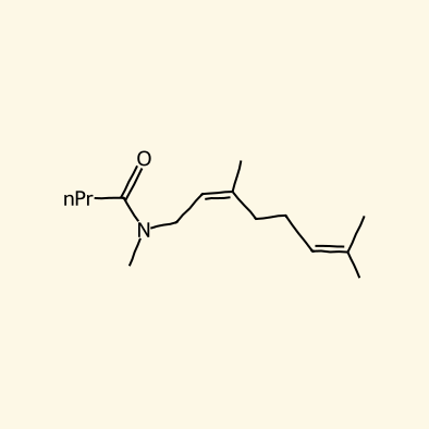 CCCC(=O)N(C)C/C=C(/C)CCC=C(C)C